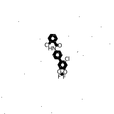 O=C(Nc1ccc(-c2cc3c(cc2Cl)OC(F)(F)O3)cc1)c1ccccc1Cl